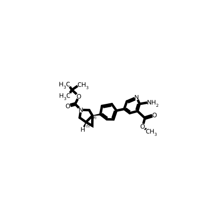 COC(=O)c1cc(-c2ccc([C@@]34C[C@@H]3CN(C(=O)OC(C)(C)C)C4)cc2)cnc1N